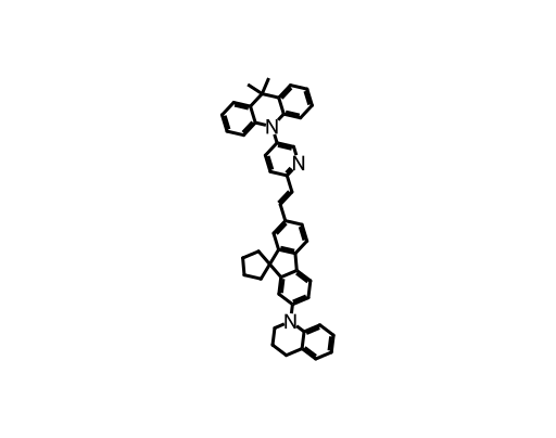 CC1(C)c2ccccc2N(c2ccc(/C=C/c3ccc4c(c3)C3(CCCC3)c3cc(N5CCCc6ccccc65)ccc3-4)nc2)c2ccccc21